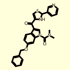 CN(C)C(=O)n1cc(C(=O)C2=CSC(c3cccnc3)N2)c2ccc(OCc3ccccc3)cc21